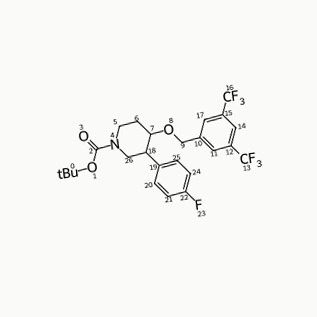 CC(C)(C)OC(=O)N1CCC(OCc2cc(C(F)(F)F)cc(C(F)(F)F)c2)C(c2ccc(F)cc2)C1